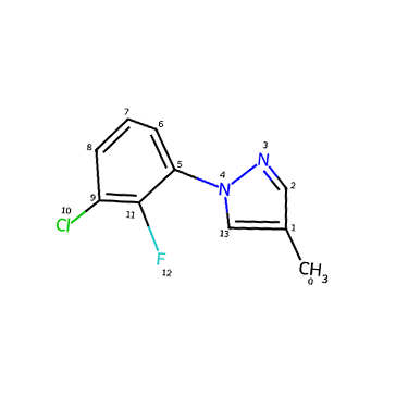 Cc1cnn(-c2cccc(Cl)c2F)c1